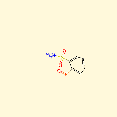 NS(=O)(=O)c1ccccc1P=O